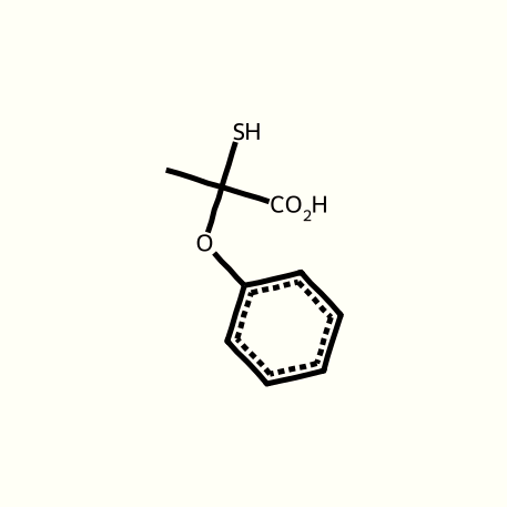 CC(S)(Oc1ccccc1)C(=O)O